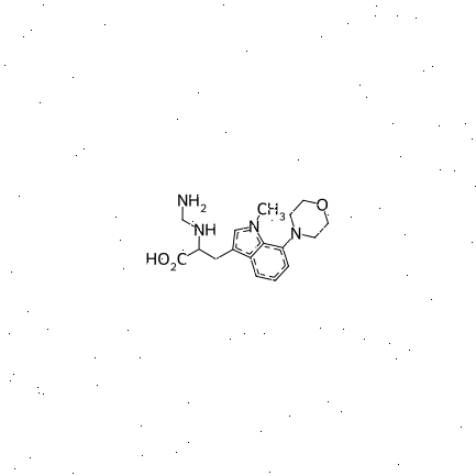 Cn1cc(CC(NCN)C(=O)O)c2cccc(N3CCOCC3)c21